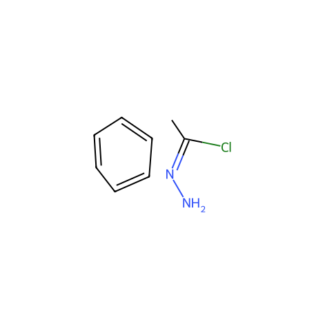 CC(Cl)=NN.c1ccccc1